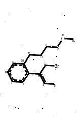 CC=C(CBr)c1ccccc1CCCCOC